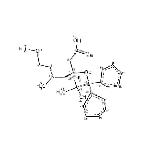 COCCN(C)C[C@@H](CC(=O)O)O[Si](c1ccccc1)(c1ccccc1)C(C)(C)C